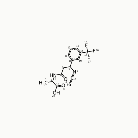 CC(NC(=O)CC(N=C=S)c1cccc(C(F)(F)F)c1)C(=O)O